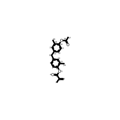 C=C(C)C(=O)Oc1ccc(Cc2ccc(OC(C)=O)c(C)c2)cc1C